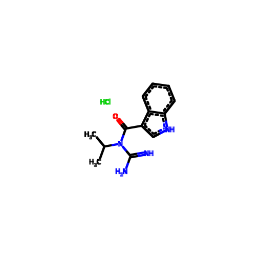 CC(C)N(C(=N)N)C(=O)c1c[nH]c2ccccc12.Cl